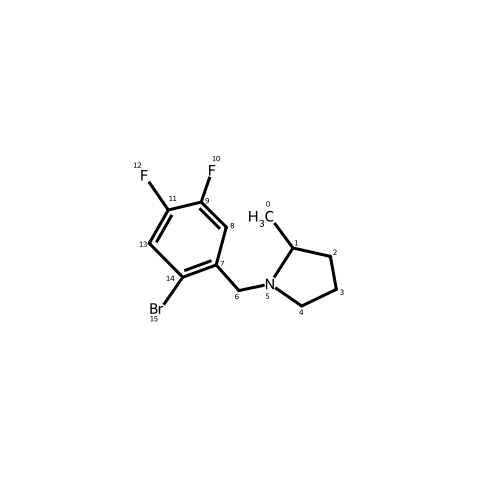 CC1CCCN1Cc1cc(F)c(F)cc1Br